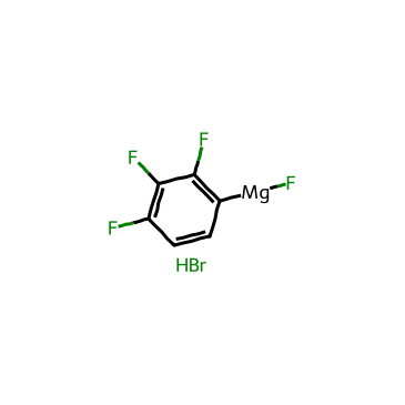 Br.[F][Mg][c]1ccc(F)c(F)c1F